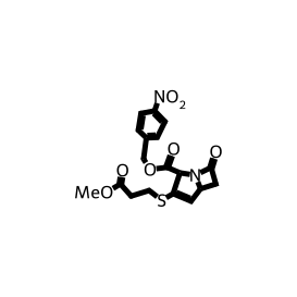 COC(=O)CCSC1=CC2CC(=O)N2C1C(=O)OCc1ccc([N+](=O)[O-])cc1